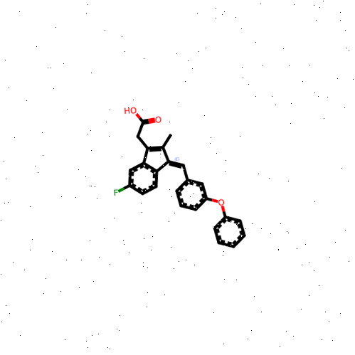 CC1=C(CC(=O)O)c2cc(F)ccc2/C1=C\c1cccc(Oc2ccccc2)c1